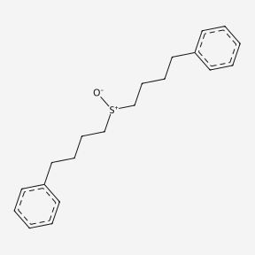 [O-][S+](CCCCc1ccccc1)CCCCc1ccccc1